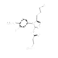 COc1ccc(N2C(CCCC(C)=O)=COC2OC(=O)CCC(C)(C)C)cc1F